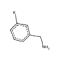 NCc1ccc[c]([K])c1